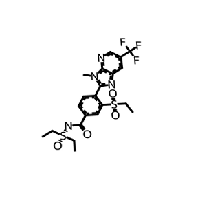 CCS(=O)(=O)c1cc(C(=O)N=S(=O)(CC)CC)ccc1-c1nc2cc(C(F)(F)F)cnc2n1C